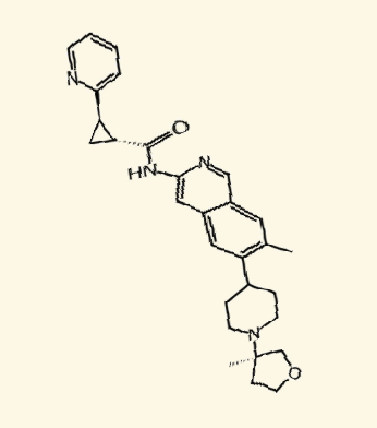 Cc1cc2cnc(NC(=O)[C@@H]3C[C@H]3c3ccccn3)cc2cc1C1CCN([C@]2(C)CCOC2)CC1